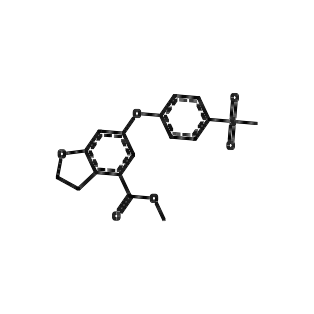 COC(=O)c1cc(Oc2ccc(S(C)(=O)=O)cc2)cc2c1CCO2